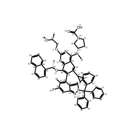 CO[C@@H](C)COc1nc(N(C)[C@H]2CCN(C(=O)O)C2)c2cc(C3CC3)c(-c3c(C)c(F)cc4nn(C(c5ccccc5)(c5ccccc5)c5ccccc5)cc34)c(O[C@@H](C)c3cccc4ccccc34)c2n1